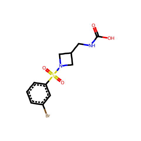 O=C(O)NCC1CN(S(=O)(=O)c2cccc(Br)c2)C1